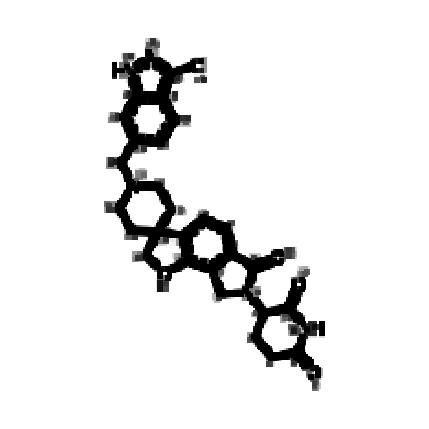 O=C1CCC(N2Cc3c(ccc4c3OCC43CCN(Cc4ccc5c(Cl)n[nH]c5c4)CC3)C2=O)C(=O)N1